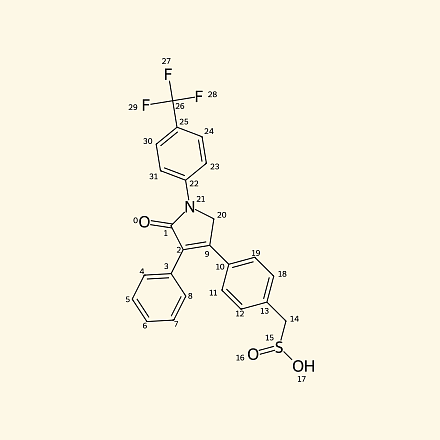 O=C1C(c2ccccc2)=C(c2ccc(CS(=O)O)cc2)CN1c1ccc(C(F)(F)F)cc1